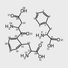 NC(Cc1ccccc1)C(=O)O.NC(Cc1ccccc1C(=O)C(N)CC(=O)O)C(=O)O